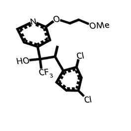 COCCOc1cc(C(O)(C(C)c2ccc(Cl)cc2Cl)C(F)(F)F)ccn1